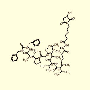 CC[C@H](C)[C@@H]([C@@H](CC(=O)N1CCC[C@H]1[C@H](OC)[C@@H](C)C(=O)N[C@@H](Cc1ccccc1)C(=O)NCc1ccccc1)OC)N(C)C(=O)[C@@H](NC(=O)[C@H](C(C)C)N(C)CCCC(=O)NNC(=O)CCCCCN1C(=O)CC(S)C1=O)C(C)C